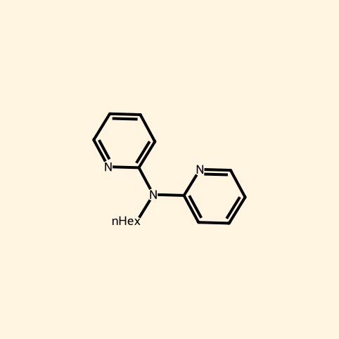 CCCCCCN(c1ccccn1)c1ccccn1